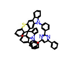 c1ccc(-c2cc(-c3ccccc3)nc(-c3cccc(-n4c5ccccc5c5cc6c(cc54)C4(c5ccccc5S6)c5ccccc5-n5c6ccccc6c6cccc4c65)c3)n2)cc1